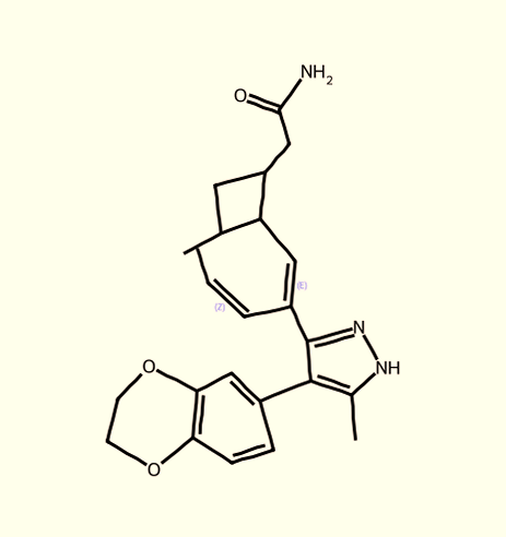 C/C=C\C(=C/C1C(C)CC1CC(N)=O)c1n[nH]c(C)c1-c1ccc2c(c1)OCCO2